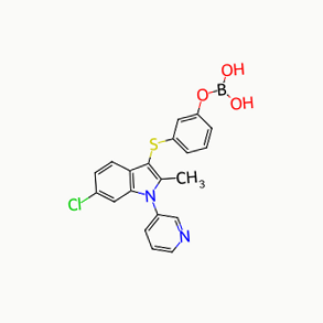 Cc1c(Sc2cccc(OB(O)O)c2)c2ccc(Cl)cc2n1-c1cccnc1